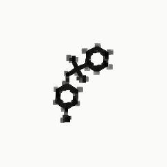 [2H]C([2H])(Cc1ccc(Br)cc1)c1ccccc1